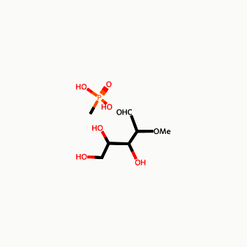 COC(C=O)C(O)C(O)CO.CP(=O)(O)O